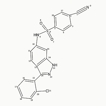 N#Cc1ccc(S(=O)(=O)Nc2ccc3c(-c4ccccc4Cl)n[nH]c3c2)cc1